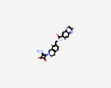 Nc1c(N2CCc3ccc(CNC(=O)c4ccc5nccnc5c4)cc3C2)c(=O)c1=O